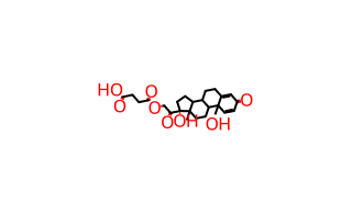 CC12C=CC(=O)C=C1CCC1C2C(O)CC2(C)C1CC[C@]2(O)C(=O)COC(=O)CCC(=O)O